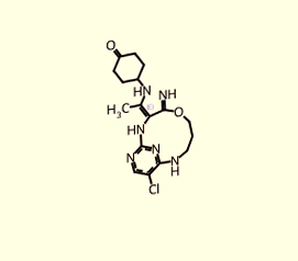 C/C(NC1CCC(=O)CC1)=C1\Nc2ncc(Cl)c(n2)NCCCOC1=N